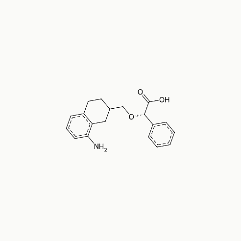 Nc1cccc2c1CC(CO[C@H](C(=O)O)c1ccccc1)CC2